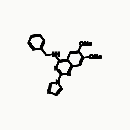 COc1cc2nc(-n3ccnc3)nc(NCc3ccccc3)c2cc1OC